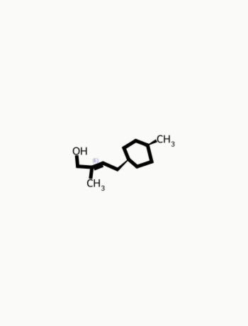 C/C(=C\C[C@H]1CC[C@@H](C)CC1)CO